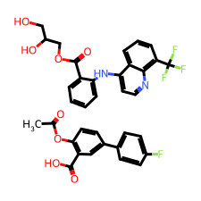 CC(=O)Oc1ccc(-c2ccc(F)cc2)cc1C(=O)O.O=C(OCC(O)CO)c1ccccc1Nc1ccnc2c(C(F)(F)F)cccc12